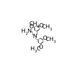 COc1cc(CN(CCN)Cc2cc(OC)cc(OC)c2)cc(OC)c1